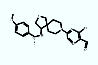 COc1ccc([C@@H](C)NC2COCC23CCN(c2cnc(C=O)c(Cl)n2)CC3)cc1